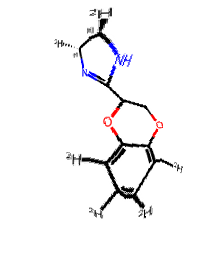 [2H]c1c([2H])c([2H])c2c(c1[2H])OCC(C1=N[C@H]([2H])[C@@H]([2H])N1)O2